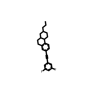 CCCC1CCC2c3ccc(C#Cc4cc(F)cc(F)c4)cc3CCC2C1